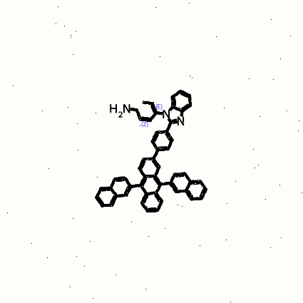 C/C=C(\C=C/CN)n1c(-c2ccc(-c3ccc4c(-c5ccc6ccccc6c5)c5ccccc5c(-c5ccc6ccccc6c5)c4c3)cc2)nc2ccccc21